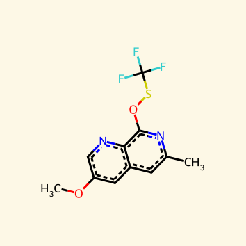 COc1cnc2c(OSC(F)(F)F)nc(C)cc2c1